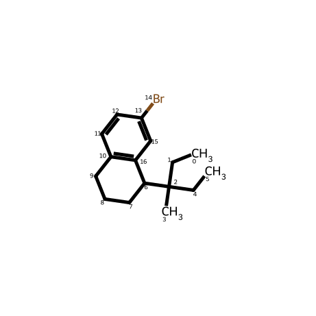 CCC(C)(CC)C1CCCc2ccc(Br)cc21